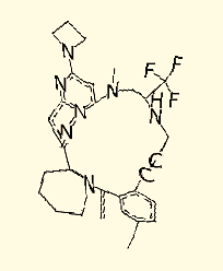 C=C1c2cc(C)ccc2CCCNC(C(F)(F)F)CN(C)c2cc(N3CCC3)nc3cc(nn23)C2CCCCN12